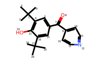 CC(C)(C)c1cc(C(=O)c2ccncc2)cc(C(C)(C)C)c1O